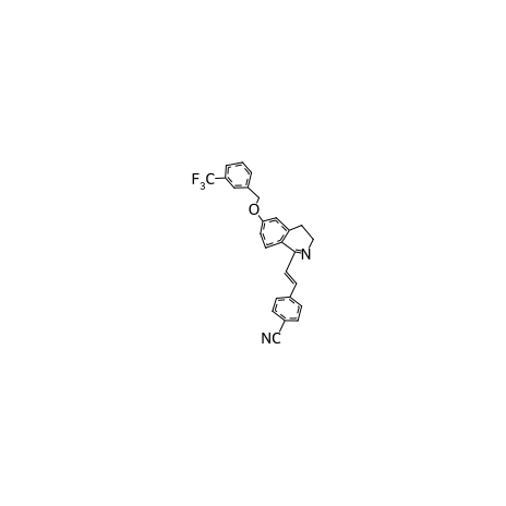 N#Cc1ccc(/C=C/C2=NCCc3cc(OCc4cccc(C(F)(F)F)c4)ccc32)cc1